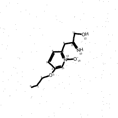 CCCOc1ccc(CC(=N)CO)[n+]([O-])c1